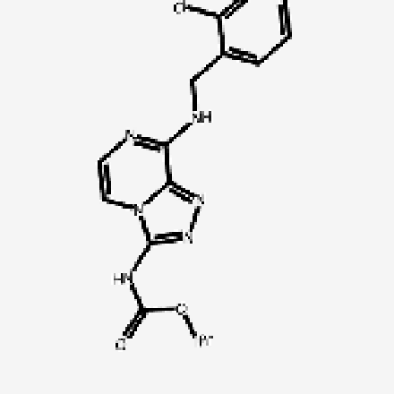 CC(C)OC(=O)Nc1nnc2c(NCc3ccccc3Cl)nccn12